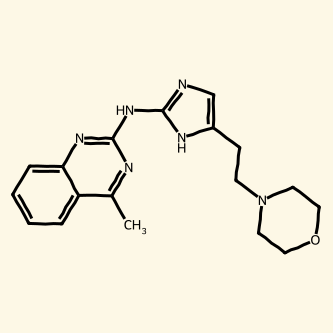 Cc1nc(Nc2ncc(CCN3CCOCC3)[nH]2)nc2ccccc12